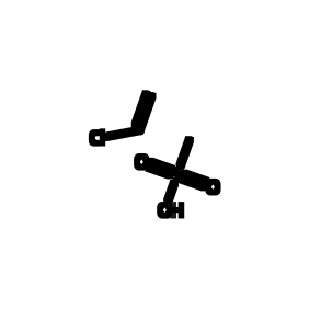 C=CCl.CS(=O)(=O)O